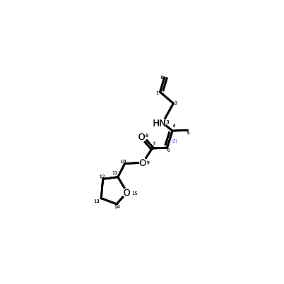 C=CCN/C(C)=C\C(=O)OCC1CCCO1